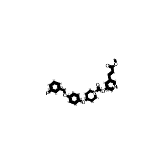 COC(=O)/C=C/c1cncc(OC(=O)N2CCC(Oc3ccc(OCc4cccc(F)c4)cc3)CC2)c1